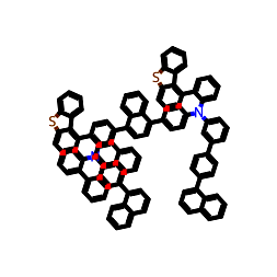 c1cc(-c2ccc(-c3cccc4ccccc34)cc2)cc(N(c2ccc(-c3ccc(-c4ccc(-c5cccc6sc7ccccc7c56)c(N(c5ccc(-c6cccc7ccccc67)cc5)c5ccccc5-c5ccccc5-c5cccc6ccccc56)c4)c4ccccc34)cc2)c2ccccc2-c2cccc3sc4ccccc4c23)c1